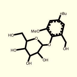 CCCCc1cc(CO)c(OC2OC(CO)C(O)C(O)C2O)c(OC)c1